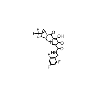 O=C(NCc1c(F)cc(F)cc1F)c1cn2c(c(O)c1=O)C(=O)N1C(C2)C2CC(F)(F)C23CC13